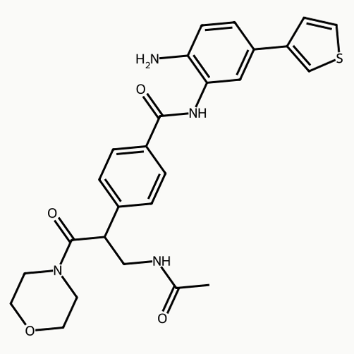 CC(=O)NCC(C(=O)N1CCOCC1)c1ccc(C(=O)Nc2cc(-c3ccsc3)ccc2N)cc1